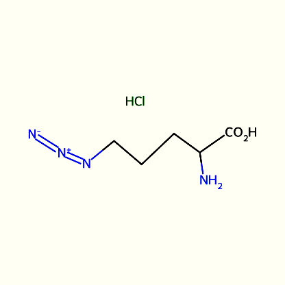 Cl.[N-]=[N+]=NCCCC(N)C(=O)O